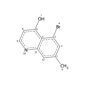 Cc1cc(Br)c2c(O)ccnc2c1